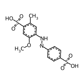 COc1cc(S(=O)(=O)O)c(C)cc1N[N]c1ccc(S(=O)(=O)O)cc1